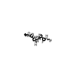 CN(C)CCNc1cc(F)cc(-c2ccnc3[nH]c(-c4n[nH]c5ccc(-c6cncc(NC(=O)C7CCC7)c6)nc45)nc23)c1